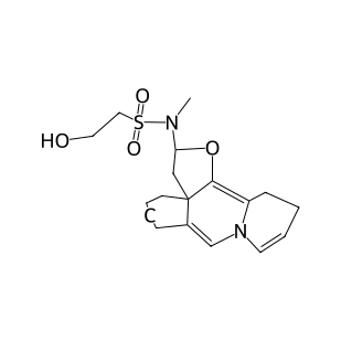 CN(C1CC23CCCCC2=CN2C=CCCC2=C3O1)S(=O)(=O)CCO